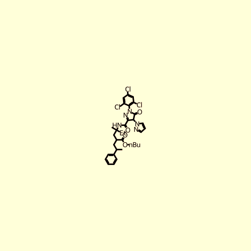 CCCCOC(=O)C(CC(C)c1ccccc1)CC(C)(CC)NC(=O)C1=NN(c2c(Cl)cc(Cl)cc2Cl)C(=O)C1n1cccn1